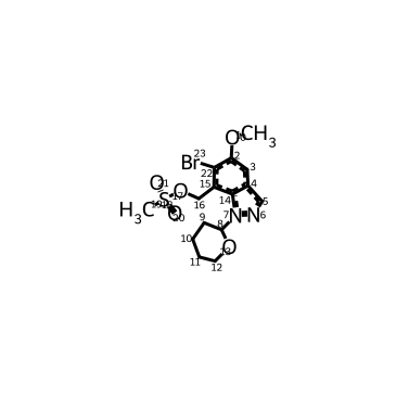 COc1cc2cnn(C3CCCCO3)c2c(COS(C)(=O)=O)c1Br